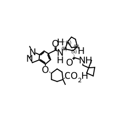 Cn1ncc2c(O[C@H]3CC[C@@](C)(C(=O)O)CC3)cc(C(=O)N[C@@H]3[C@H]4CC[C@H](C4)[C@@H]3C(=O)NCC3(C)CCC3)cc21